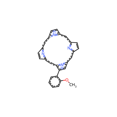 COc1ccccc1-c1cc2cc3nc(cc4ccc(cc5nc(cc1[nH]2)C=C5)[nH]4)C=C3